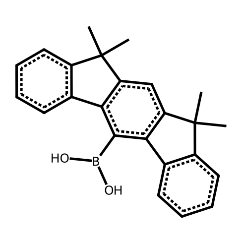 CC1(C)c2ccccc2-c2c1cc1c(c2B(O)O)-c2ccccc2C1(C)C